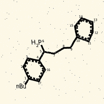 CCCCc1ccc(C(P)CCCc2cc[c]cc2)cc1